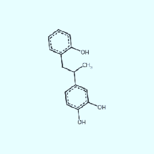 CC(Cc1ccccc1O)c1ccc(O)c(O)c1